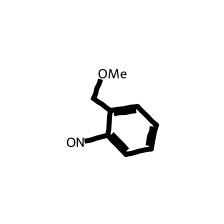 COCc1ccccc1N=O